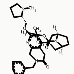 CN1CCC[C@H]1COc1nc2c(c(N3C[C@H]4CC[C@@H](C3)N4C(=O)OC(C)(C)C)n1)CC(=O)N(Cc1ccccc1)C2